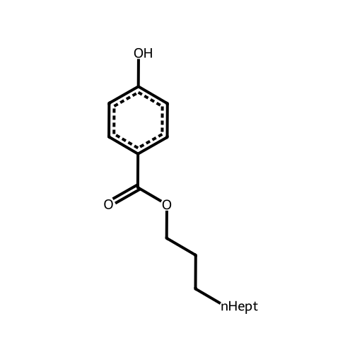 CCCCCCCCCCOC(=O)c1ccc(O)cc1